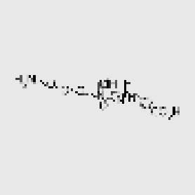 Cl.NCCCOCCOCCOCCCNC(=O)c1ccc(NN=Cc2ccc(C(=O)O)cc2)nc1